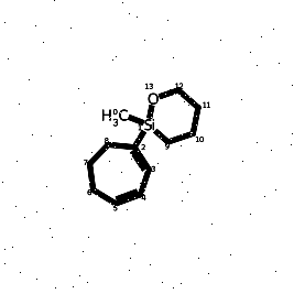 C[Si]1(C2=CC=CCCC2)CCCCO1